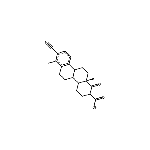 Cc1c(C#N)ccc2c1CCC1C2CC[C@]2(C)C(=O)C(C(=O)O)CCC12